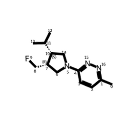 Cc1ccc(N2C[C@H](CF)[C@H](C(C)C)C2)nn1